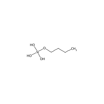 CCCCO[Si](O)(O)O